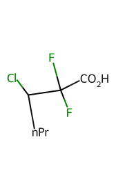 CCCC(Cl)C(F)(F)C(=O)O